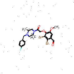 COc1cc(C=O)c(Br)c(Br)c1OCC(=O)N1C[C@H](C)N(Cc2ccc(F)cc2)C[C@H]1C